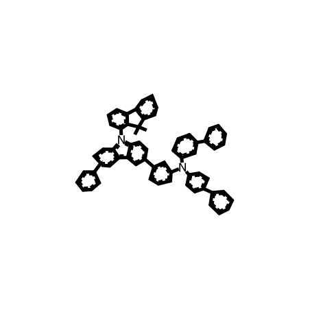 CC1(C)c2ccccc2-c2cccc(-n3c4ccc(-c5ccccc5)cc4c4cc(-c5cccc(N(c6ccc(-c7ccccc7)cc6)c6cccc(-c7ccccc7)c6)c5)ccc43)c21